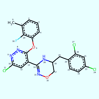 Cc1cccc(Oc2nnc(Cl)cc2C2=NOCC(Cc3ccc(Cl)cc3Cl)N2)c1F